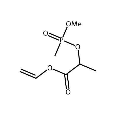 C=COC(=O)C(C)OP(C)(=O)OC